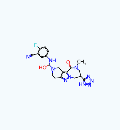 CN1CC(c2nnn[nH]2)Cn2nc3c(c2C1=O)CN(C(O)Nc1ccc(F)c(C#N)c1)CC3